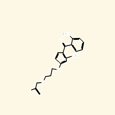 C=C(C)COCCCOc1ccc(C(=O)c2ccccc2O)c(O)c1